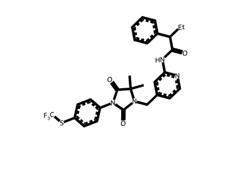 CCC(C(=O)Nc1cc(CN2C(=O)N(c3ccc(SC(F)(F)F)cc3)C(=O)C2(C)C)ccn1)c1ccccc1